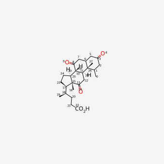 CC1CC(=O)CC2CC(=O)[C@@H]3[C@H](CC(=O)[C@]4(C)[C@@H]([C@H](C)CCC(=O)O)CC[C@@H]34)[C@@]12C